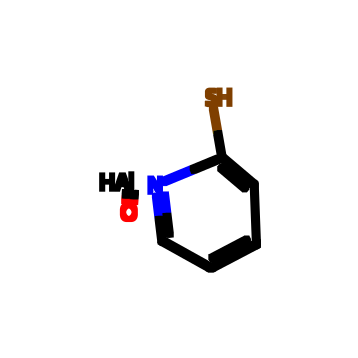 Sc1ccccn1.[O]=[AlH]